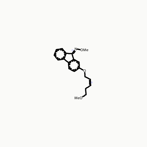 COCC/C=C\COc1ccc2c(c1)/C(=N\OC)c1ccccc1-2